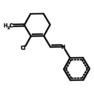 C=C1CCCC(/C=N/c2ccccc2)=C1Cl